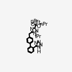 CCCOC(CC)(OCCC)c1nc(Cc2ccc(-c3ccccc3-c3nnn[nH]3)cc2)n(C(C)C)n1